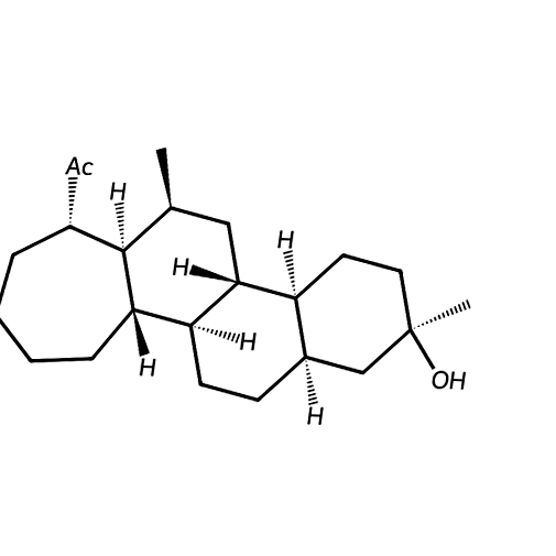 CC(=O)[C@H]1CCCC[C@H]2[C@@H]3CC[C@@H]4C[C@](C)(O)CC[C@@H]4[C@H]3C[C@H](C)[C@@H]21